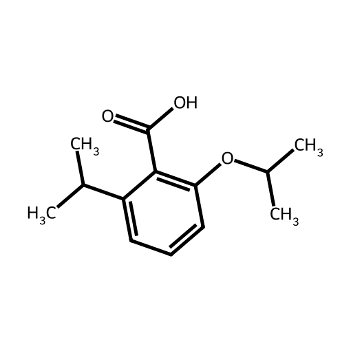 CC(C)Oc1cccc(C(C)C)c1C(=O)O